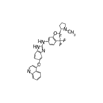 CN1CCC[C@@H]1COc1cc(Nc2nc3cc(Oc4ccnc5ccccc45)ccc3[nH]2)ccc1C(F)(F)F